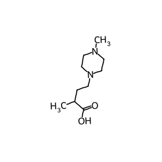 CC(CCN1CCN(C)CC1)C(=O)O